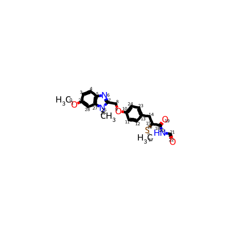 COc1ccc2nc(COc3ccc(CC(SC)C(=O)NC=O)cc3)n(C)c2c1